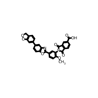 COc1ccc(-c2nc3cc(-c4ccc5c(c4)OOC5)ccc3o2)cc1N1C(=O)c2ccc(C(=O)O)cc2C1=O